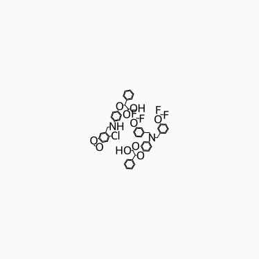 O=C(O)C(Oc1ccc(N(Cc2cccc(OC(F)F)c2)Cc2cccc(OC(F)F)c2)cc1)c1ccccc1.O=C(O)C(Oc1ccc(NCc2cc3c(cc2Cl)OCO3)cc1)c1ccccc1